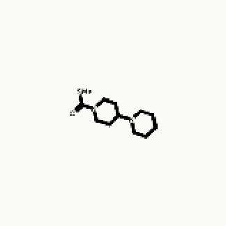 CSC(=O)N1CCC(N2CCCCC2)CC1